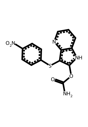 NC(=O)Oc1[nH]c2cccnc2c1Sc1ccc([N+](=O)[O-])cc1